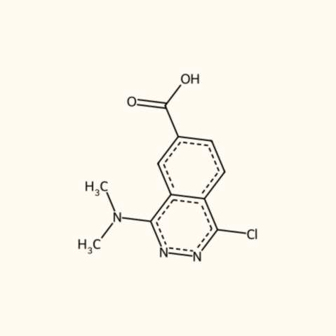 CN(C)c1nnc(Cl)c2ccc(C(=O)O)cc12